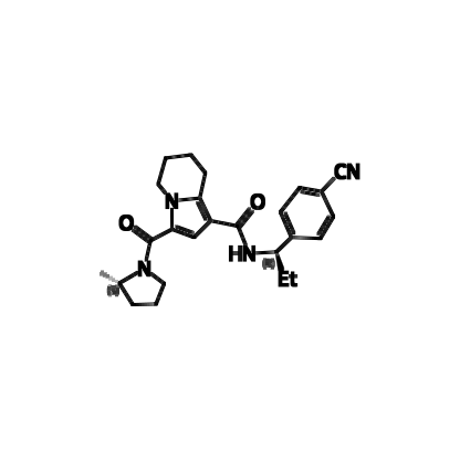 CC[C@@H](NC(=O)c1cc(C(=O)N2CCC[C@@H]2C)n2c1CCCC2)c1ccc(C#N)cc1